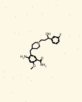 COc1cc(N)c(CC2CCN(CCC(O)c3cccc(F)c3)CC2)cc1C(N)=O